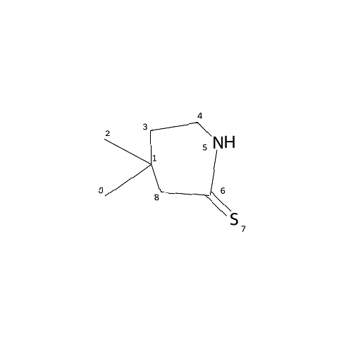 CC1(C)CCNC(=S)C1